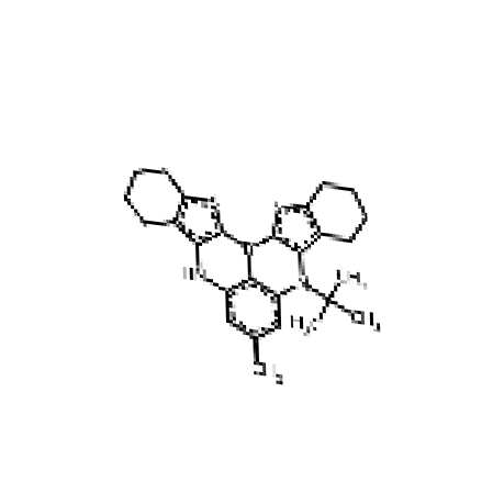 Cc1cc2c3c(c1)N(C(C)(C)C)c1c(sc4c1CCCC4)B3c1sc3c(c1N2)CCCC3